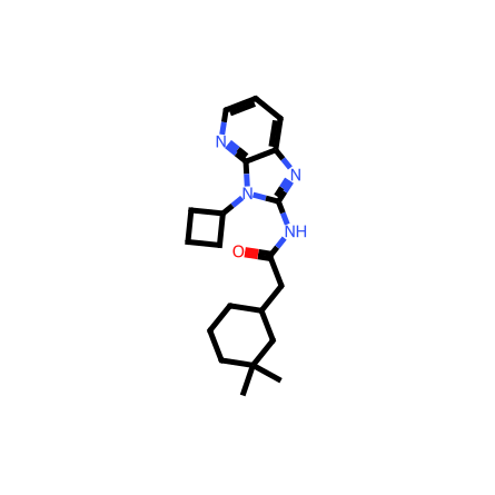 CC1(C)CCCC(CC(=O)Nc2nc3cccnc3n2C2CCC2)C1